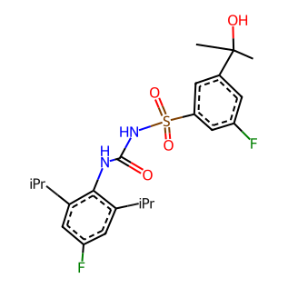 CC(C)c1cc(F)cc(C(C)C)c1NC(=O)NS(=O)(=O)c1cc(F)cc(C(C)(C)O)c1